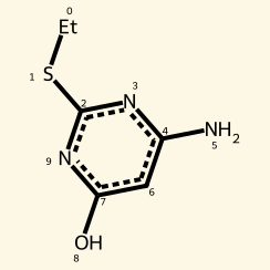 CCSc1nc(N)cc(O)n1